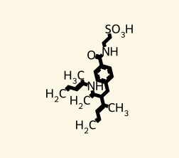 C=C/C=C(\C)NC(=C)C(Cc1ccc(C(=O)NCCS(=O)(=O)O)cc1)/C(C)=C/C=C